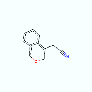 N#CCC1=c2ccccc2=COC1